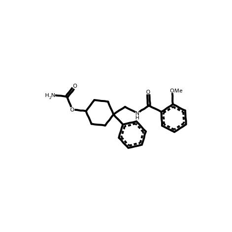 COc1ccccc1C(=O)NCC1(c2ccccc2)CCC(OC(N)=O)CC1